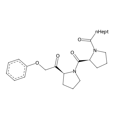 CCCCCCCC(=O)N1CCC[C@H]1C(=O)N1CCC[C@H]1C(=O)COc1ccccc1